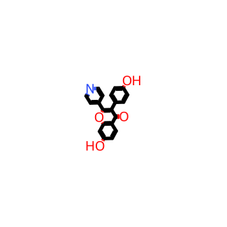 O=c1c(-c2ccc(O)cc2)c(-c2ccncc2)oc2cc(O)ccc12